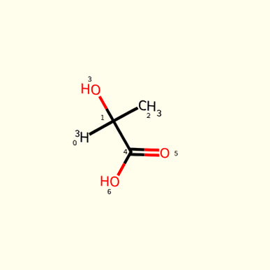 [3H]C(C)(O)C(=O)O